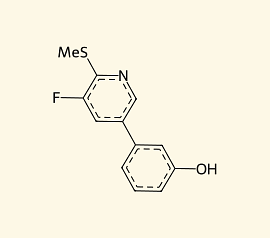 CSc1ncc(-c2cccc(O)c2)cc1F